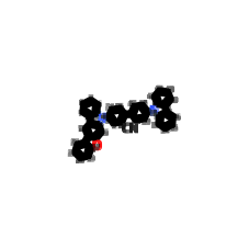 N#Cc1cc(-n2c3ccccc3c3cc4c(cc32)oc2ccccc24)ccc1-c1ccc(-n2c3ccccc3c3ccccc32)cc1